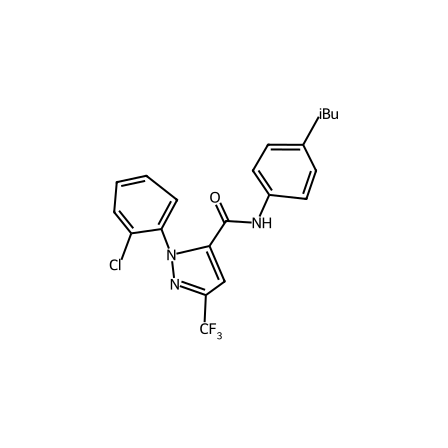 CCC(C)c1ccc(NC(=O)c2cc(C(F)(F)F)nn2-c2ccccc2Cl)cc1